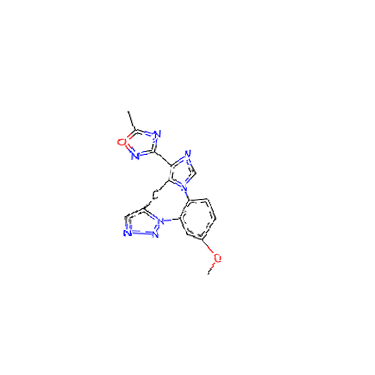 COc1ccc2c(c1)-n1nncc1Cc1c(-c3noc(C)n3)ncn1-2